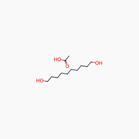 CC(=O)O.OCCCCCCCCCCO